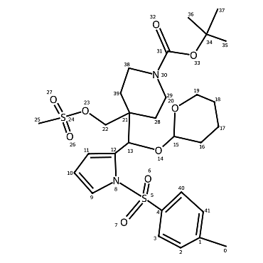 Cc1ccc(S(=O)(=O)n2cccc2C(OC2CCCCO2)C2(COS(C)(=O)=O)CCN(C(=O)OC(C)(C)C)CC2)cc1